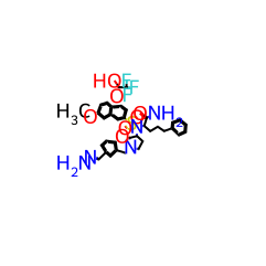 COc1ccc2ccc(S(=O)(=O)N(C(CCCc3ccccc3)C(N)=O)[C@H]3CCN(Cc4cccc(C=NN)c4)C3=O)cc2c1.O=C(O)C(F)(F)F